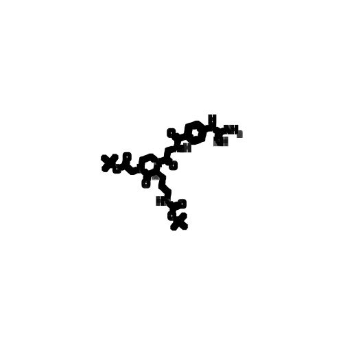 CC(C)(C)OC(=O)CN1CCN(C(=O)C[AsH]C(=O)c2ccc(NC(=N)N)cc2)[C@@H](CCCNC(=O)OC(C)(C)C)C1=O